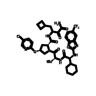 CC(C)(C)[C@@H](NC(=O)[C@@H](Nc1nc2cc(C(F)(F)F)ccc2o1)C1CCCCC1)C(=O)N1C[C@H](Oc2ccc(Cl)cn2)C[C@@H]1C(=O)NC(CC1CCC1)C(=O)C(N)=O